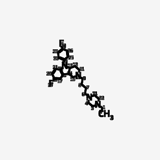 CCN1CCN(CCCCN2CCC3C(C2)c2cc(F)ccc2N3c2ccc(F)cc2)CC1